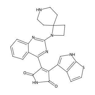 O=C1NC(=O)C(c2c[nH]c3sccc23)=C1c1nc(N2CCC23CCNCC3)nc2ccccc12